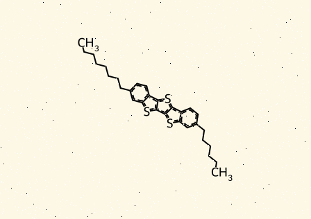 CCCCCCCCc1ccc2c(c1)sc1c2sc2c3ccc(CCCCCC)cc3sc21